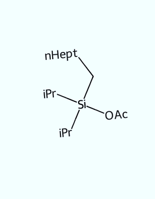 CCCCCCCC[Si](OC(C)=O)(C(C)C)C(C)C